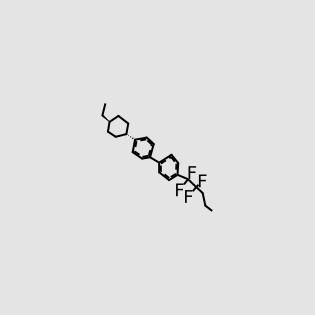 CCCC(F)(F)C(F)(F)c1ccc(-c2ccc([C@H]3CC[C@H](CC)CC3)cc2)cc1